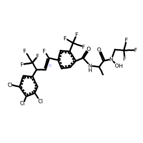 CC(NC(=O)c1ccc(/C(F)=C/C(c2cc(Cl)c(Cl)c(Cl)c2)C(F)(F)F)cc1C(F)(F)F)C(=O)N(O)CC(F)(F)F